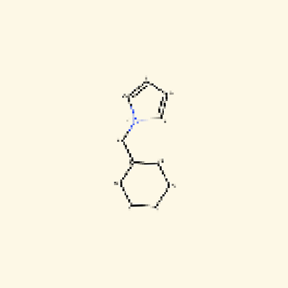 c1ccn(CC2CCCCC2)c1